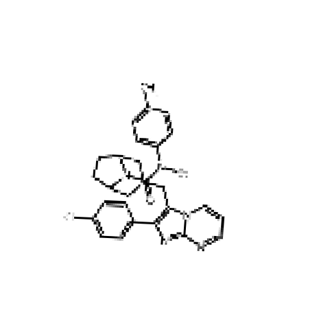 CCN(C(=O)N1C2CCC1CN(Cc1c(-c3ccc(Cl)cc3)nc3ncccn13)C2)c1ccc(C)cc1